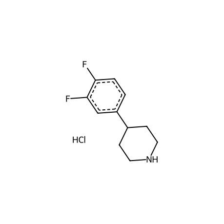 Cl.Fc1ccc(C2CCNCC2)cc1F